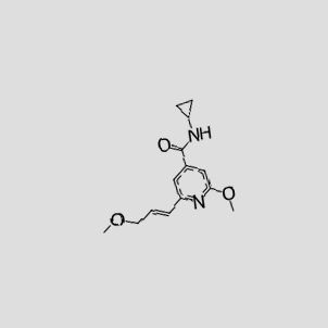 COCC=Cc1cc(C(=O)NC2CC2)cc(OC)n1